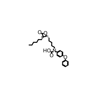 CCCCCC[C@H]1C(=O)O[C@@H]1CCCCCN(C(=O)O)c1ccc(Oc2ccccc2)cc1